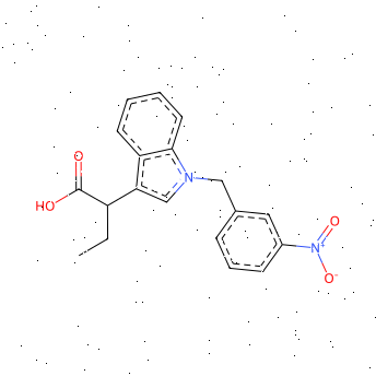 CCC(C(=O)O)c1cn(Cc2cccc([N+](=O)[O-])c2)c2ccccc12